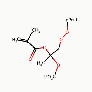 C=C(C)C(=O)OC(C)(COOCCCCC)OC(=O)O